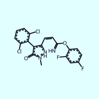 Cn1[nH]c(/C=C\C(=N)Oc2ccc(F)cc2F)c(-c2c(Cl)cccc2Cl)c1=O